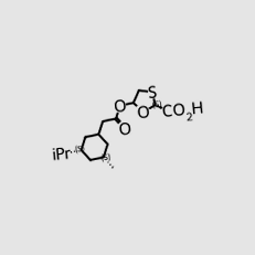 CC(C)[C@@H]1CC(CC(=O)OC2CS[C@@H](C(=O)O)O2)C[C@H](C)C1